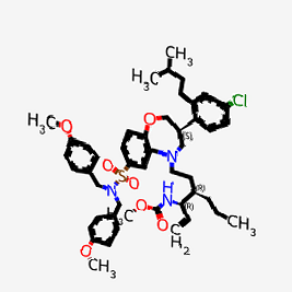 C=C[C@@H](NC(=O)OC)[C@H](CCC)CCN1C[C@H](c2ccc(Cl)cc2CCC(C)C)COc2ccc(S(=O)(=O)N(Cc3ccc(OC)cc3)Cc3ccc(OC)cc3)cc21